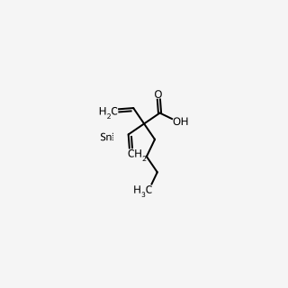 C=CC(C=C)(CCCC)C(=O)O.[Sn]